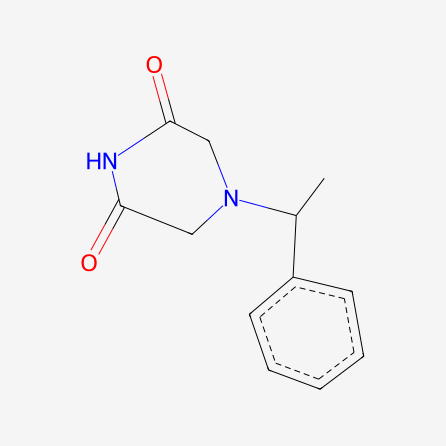 CC(c1ccccc1)N1CC(=O)NC(=O)C1